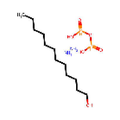 CCCCCCCCCCCCO.N.N.O=[PH](O)O[PH](=O)O